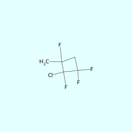 [CH2]C1(F)CC(F)(F)C1(F)Cl